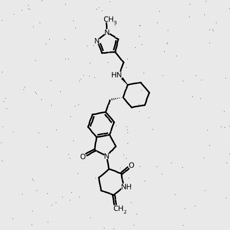 C=C1CCC(N2Cc3cc(C[C@H]4CCCC[C@@H]4NCc4cnn(C)c4)ccc3C2=O)C(=O)N1